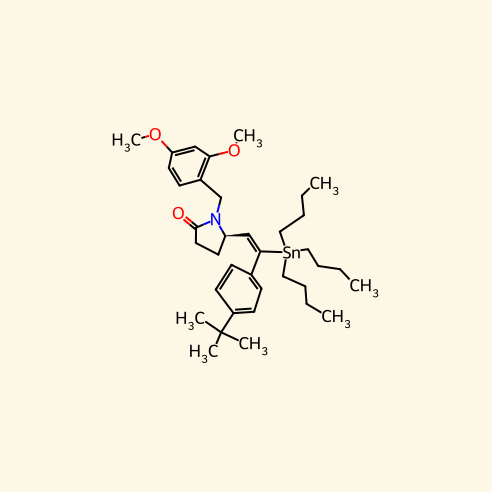 CCC[CH2][Sn]([CH2]CCC)([CH2]CCC)/[C](=C/[C@H]1CCC(=O)N1Cc1ccc(OC)cc1OC)c1ccc(C(C)(C)C)cc1